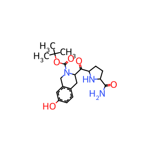 CC(C)(C)OC(=O)N1Cc2cc(O)ccc2CC1C(=O)C1CCC(C(N)=O)N1